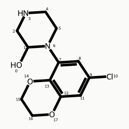 OC1CNCCN1c1cc(Cl)cc2c1OCCO2